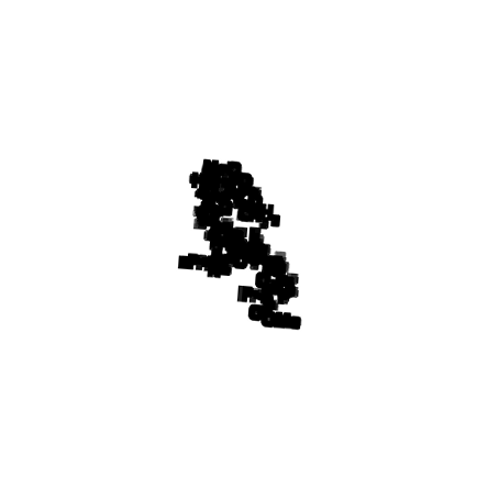 CCCc1ncc(C2Oc3cc(C4=CC=C([C@@H]5CCCN5C(=O)[C@@H](CC(=O)OC)C(C)C)C4)cc(F)c3-c3cc4cc(C5=CC=C([C@@H]6C[C@H]7C[C@H]7N6C(=O)C(CC(=O)OC)C6CCOC(C)(C)C6)C5)ccc4n32)s1